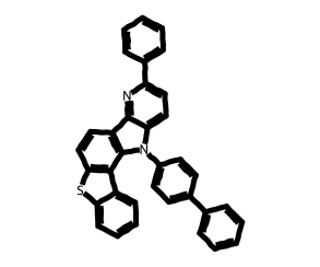 c1ccc(-c2ccc(-n3c4ccc(-c5ccccc5)nc4c4ccc5sc6ccccc6c5c43)cc2)cc1